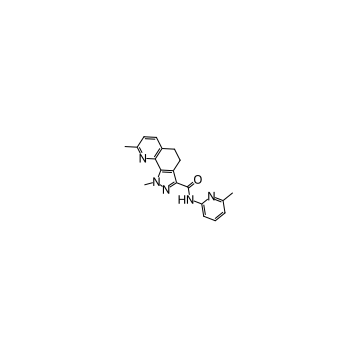 Cc1cccc(NC(=O)c2nn(C)c3c2CCc2ccc(C)nc2-3)n1